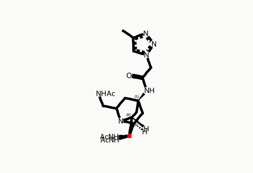 CC(=O)NCC1C[C@]2(NC(=O)Cn3cc(C)nn3)C[C@@H](CNC(C)=O)N1[C@@H](CNC(C)=O)C2